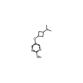 CN(C)C1CC(Oc2cnc(C(C)(C)C)nc2)C1